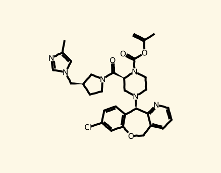 C=C(C)OC(=O)N1CCN([C@@H]2c3ccc(Cl)cc3OCc3cccnc32)C[C@H]1C(=O)N1CC[C@@H](Cn2cnc(C)c2)C1